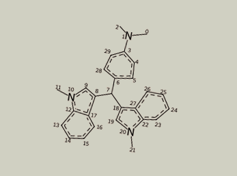 CN(C)c1ccc(C(c2cn(C)c3ccccc23)c2cn(C)c3ccccc23)cc1